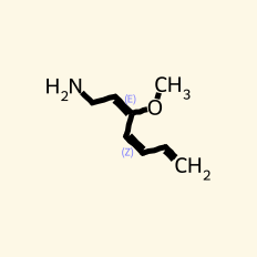 C=C/C=C\C(=C/CN)OC